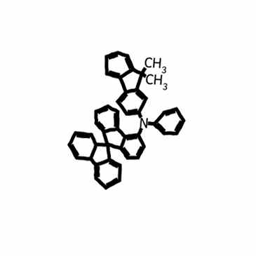 CC1(C)c2ccccc2-c2ccc(N(c3ccccc3)c3cccc4c3-c3ccccc3C43c4ccccc4C4C=CC=CC43)cc21